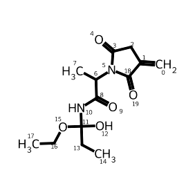 C=C1CC(=O)N(C(C)C(=O)NC(O)(CC)OCC)C1=O